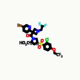 O=C(O)[C@@H]1C[C@@H](S(=O)(=O)c2ccc(OCC(F)(F)F)cc2Cl)CN1C(=O)C1(c2ccc(Br)cn2)CN(CC(F)F)C1